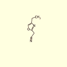 CCc1coc(CC#N)n1